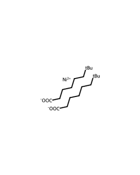 CC(C)(C)CCCCCC(=O)[O-].CC(C)(C)CCCCCC(=O)[O-].[Ni+2]